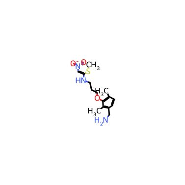 CSC(=C[N+](=O)[O-])NCCCOc1c(C)ccc(CN)c1C